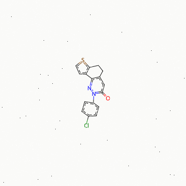 O=c1cc2c(nn1-c1ccc(Cl)cc1)-c1ccsc1CC2